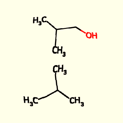 CC(C)C.CC(C)CO